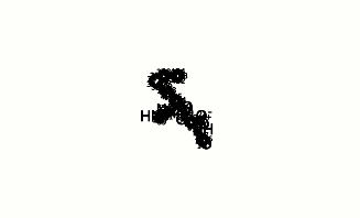 O=C(NS(=O)(=O)c1ccc(NCC2CCOCC2)c([N+](=O)[O-])c1)c1ccc(N2CCN(C3CCCCc4ccc(-c5ccccc5)cc43)CC2)cc1Oc1cnc2[nH]ccc2c1